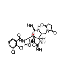 N=C1N[C@H]2[C@H](CN3C(=O)CCC3=O)NC(=N)N3CC(NC(=O)c4cccc(Cl)c4Cl)C(O)(O)[C@]23N1